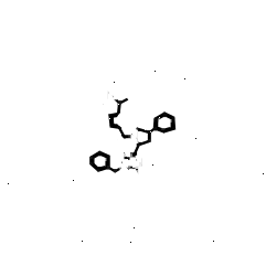 CC(N)c1ccc(C(=O)N2CC(c3ccccc3)CC2c2nnn(Cc3ccccc3)n2)o1